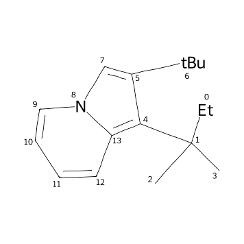 CCC(C)(C)c1c(C(C)(C)C)cn2ccccc12